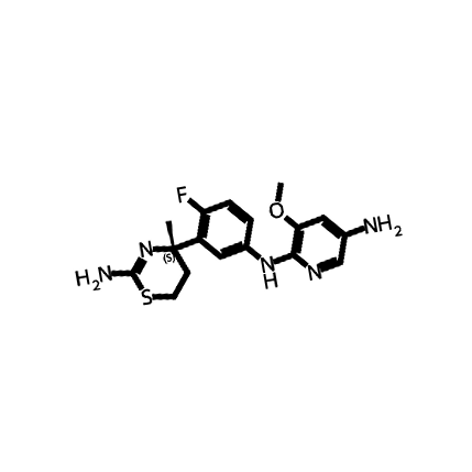 COc1cc(N)cnc1Nc1ccc(F)c([C@]2(C)CCSC(N)=N2)c1